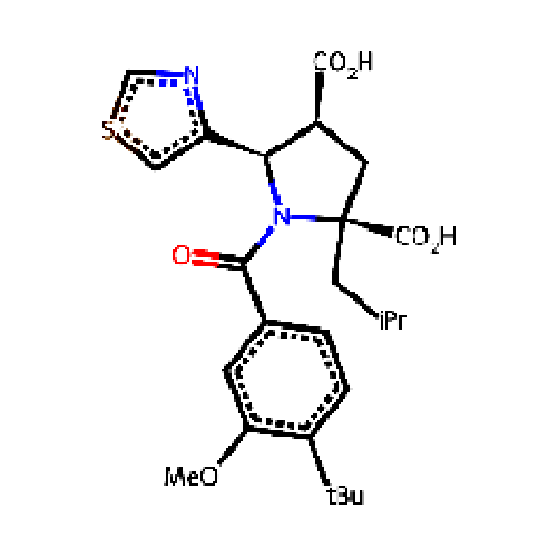 COc1cc(C(=O)N2[C@@H](c3cscn3)[C@@H](C(=O)O)C[C@@]2(CC(C)C)C(=O)O)ccc1C(C)(C)C